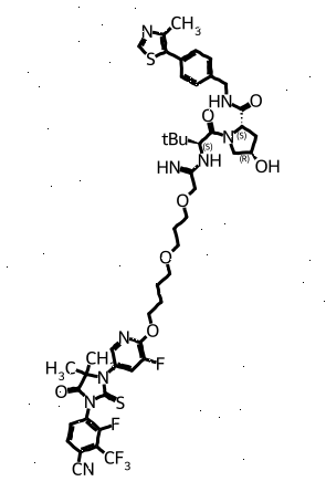 Cc1ncsc1-c1ccc(CNC(=O)[C@@H]2C[C@@H](O)CN2C(=O)[C@@H](NC(=N)COCCCOCCCCOc2ncc(N3C(=S)N(c4ccc(C#N)c(C(F)(F)F)c4F)C(=O)C3(C)C)cc2F)C(C)(C)C)cc1